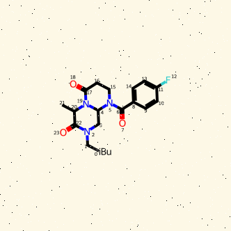 CCC(C)CN1CC2N(C(=O)c3ccc(F)cc3)CCC(=O)N2C(C)C1=O